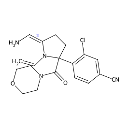 C=CN1/C(=C\N)CCC1(C(=O)N1CCOCC1)c1ccc(C#N)cc1Cl